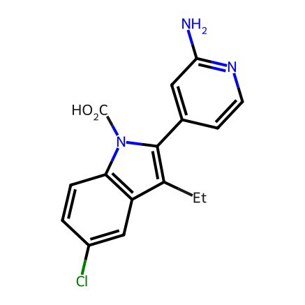 CCc1c(-c2ccnc(N)c2)n(C(=O)O)c2ccc(Cl)cc12